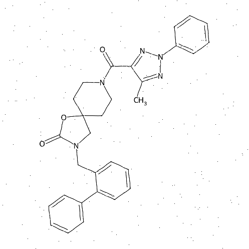 Cc1nn(-c2ccccc2)nc1C(=O)N1CCC2(CC1)CN(Cc1ccccc1-c1ccccc1)C(=O)O2